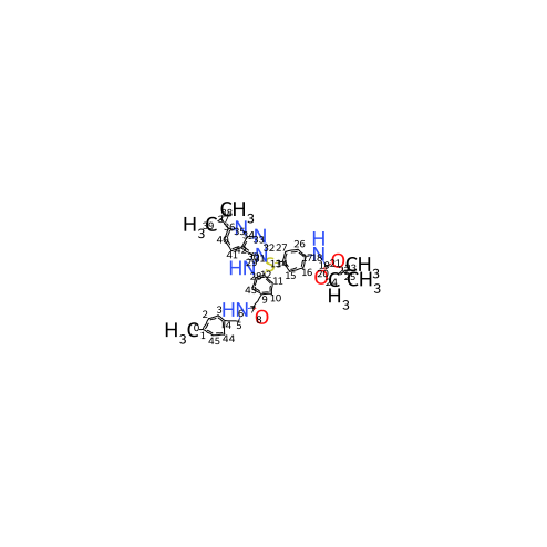 Cc1ccc(CNC(=O)c2ccc(Sc3ccc(NC(=O)OC(C)(C)C)cc3)c(Nc3ncnc4nc(C(C)C)ccc34)c2)cc1